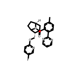 Cc1ccc(-c2ncccn2)c(C(=O)N2C3CC[C@H]2CC[C@@H]3COc2ccc(F)cn2)c1